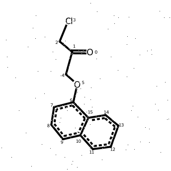 O=C(CCl)COc1cccc2ccccc12